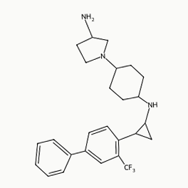 NC1CCN(C2CCC(NC3CC3c3ccc(-c4ccccc4)cc3C(F)(F)F)CC2)C1